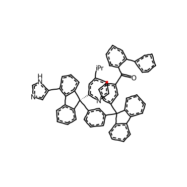 CC(C)c1ccnc([C@]2(c3cccc(C4(c5cccc(C(=O)c6ccccc6-c6ccccc6)c5)c5ccccc5-c5ccccc54)c3)c3ccccc3-c3c(-c4cnc[nH]4)cccc32)c1